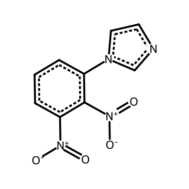 O=[N+]([O-])c1cccc(-n2ccnc2)c1[N+](=O)[O-]